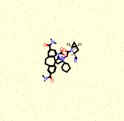 C[C@@H](CC1(c2nc(=O)on2C2CCCCC2)c2ccc(C(=O)N(C)C)cc2CCc2cc(C(=O)N(C)C)ccc21)NCC(=O)N1[C@H](C#N)C[C@@H]2C[C@@H]21